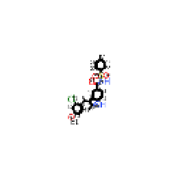 CCOc1ccc(Cc2c(C)[nH]c3ccc(C(=O)NS(=O)(=O)c4ccc(C)cc4)cc23)c(Cl)c1